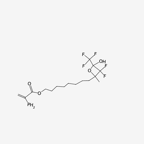 C=C(P)C(=O)OCCCCCCCCC1(C)OC(O)(C(F)(F)F)C1(F)F